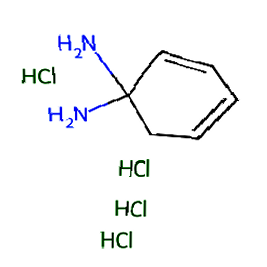 Cl.Cl.Cl.Cl.NC1(N)C=CC=CC1